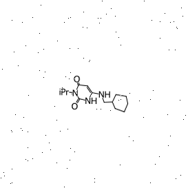 CC(C)n1c(=O)cc(NCC2CCCCC2)[nH]c1=O